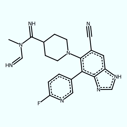 CN(C=N)C(=N)C1CCN(c2c(C#N)cc3[nH]cnc3c2-c2ccc(F)nc2)CC1